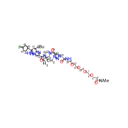 CNC(=O)CCOCCOCCOCCOCCNC(=O)Cn1cc(C(=O)N2CCN(C(=O)c3c[nH]c(/C(=C\C(=N)c4ccc(F)cc4)C(C)(C)C)n3)C(C)(C)C2)nn1